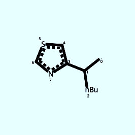 [CH2]C(CCCC)c1cscn1